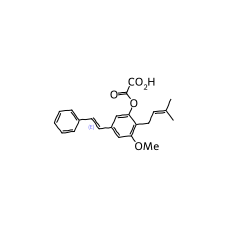 COc1cc(/C=C/c2ccccc2)cc(OC(=O)C(=O)O)c1CC=C(C)C